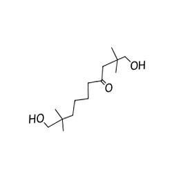 CC(C)(CO)CCCCC(=O)CC(C)(C)CO